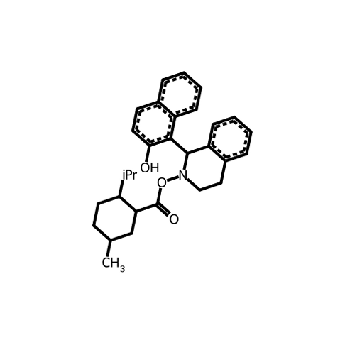 CC1CCC(C(C)C)C(C(=O)ON2CCc3ccccc3C2c2c(O)ccc3ccccc23)C1